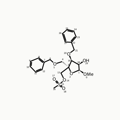 CO[C@H]1O[C@@](COCc2ccccc2)(COS(C)(=O)=O)[C@@H](OCc2ccccc2)[C@H]1O